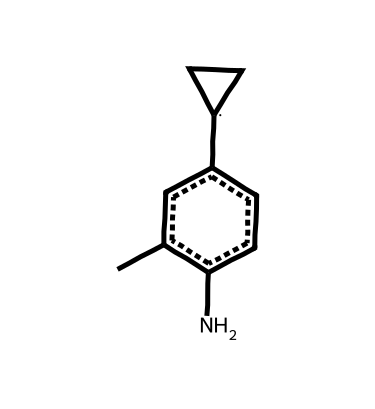 Cc1cc([C]2CC2)ccc1N